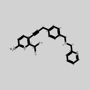 Nc1ccc(C#CCc2ccc(COCc3ccccn3)cc2)c(C(F)F)n1